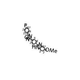 COc1ccc2[nH]c(-c3ccc(-c4noc(-c5ccc(F)cc5)n4)cc3)nc2c1